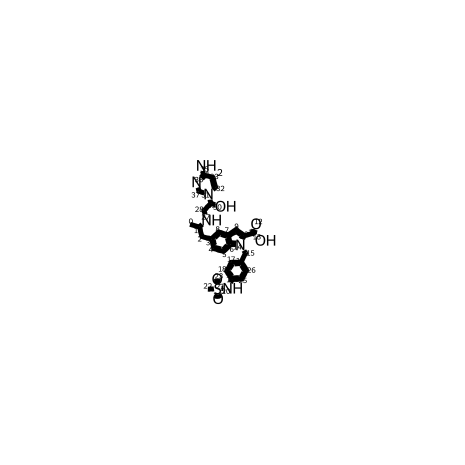 CC(Cc1ccc2c(c1)cc(C(=O)O)n2Cc1ccc(NS(C)(=O)=O)cc1)NCC(O)N1C=CC(N)=NC1